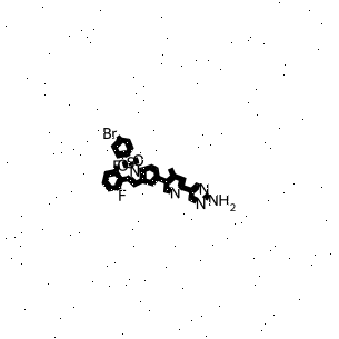 Cc1cc(-c2cnc(N)nc2)ncc1-c1ccc2c(c1)cc(-c1c(F)cccc1F)n2S(=O)(=O)c1ccc(Br)cc1